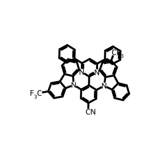 N#Cc1cc(-n2c3ccccc3c3cc(C(F)(F)F)ccc32)c(-c2nc(-c3ccccc3)cc(-c3ccccc3)n2)c(-n2c3ccccc3c3cc(C(F)(F)F)ccc32)c1